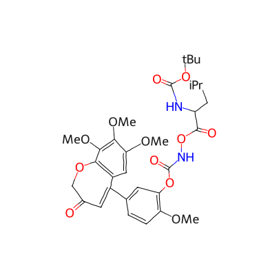 COc1ccc(C2=CC(=O)COc3c2cc(OC)c(OC)c3OC)cc1OC(=O)NOC(=O)C(CC(C)C)NC(=O)OC(C)(C)C